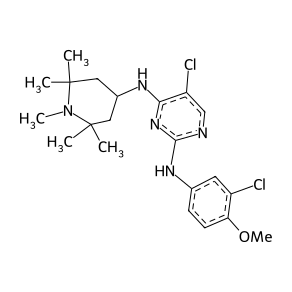 COc1ccc(Nc2ncc(Cl)c(NC3CC(C)(C)N(C)C(C)(C)C3)n2)cc1Cl